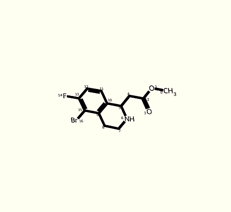 COC(=O)CC1NCCc2c1ccc(F)c2Br